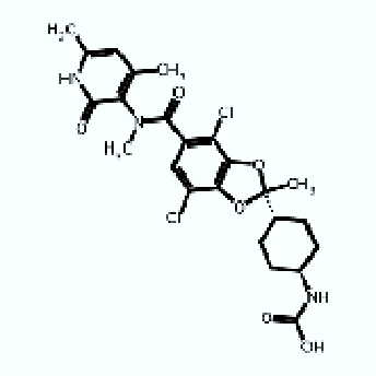 Cc1cc(C)c(N(C)C(=O)c2cc(Cl)c3c(c2Cl)OC(C)([C@H]2CC[C@H](NC(=O)O)CC2)O3)c(=O)[nH]1